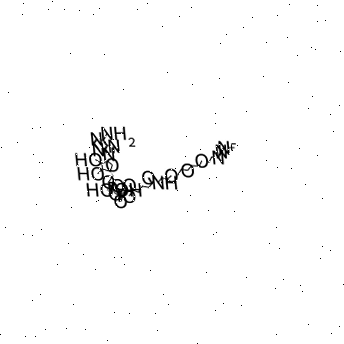 [N-]=[N+]=NCCOCCOCCOCCNC(=O)CCCC(=O)OP(=O)(O)OP(=O)(O)OC[C@H]1O[C@@H](n2cnc3c(N)ncnc32)C(O)C1O